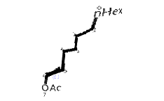 CCCCCCCCCC/C=C/OC(C)=O